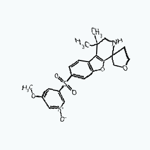 COc1cc(S(=O)(=O)c2ccc3c4c(oc3c2)C2(CCOC2)NCC4(C)C)c[n+]([O-])c1